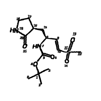 CC(C)(C)OC(=O)N[C@H](/C=C/S(C)(=O)=O)C[C@@H]1CCNC1=O